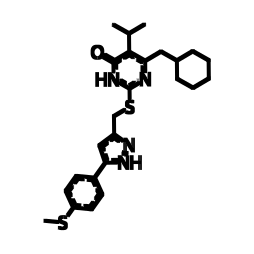 CSc1ccc(-c2cc(CSc3nc(CC4CCCCC4)c(C(C)C)c(=O)[nH]3)n[nH]2)cc1